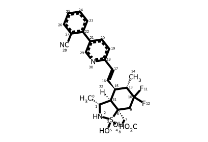 C[C@H]1NS(O)(O)[C@]2(CC(=O)O)CC(F)(F)[C@@H](C)[C@H](C=Cc3ccc(-c4ccccc4C#N)cn3)[C@H]12